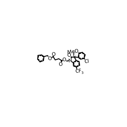 COc1ccc(Cl)cc1[C@]1(F)C(=O)N(COC(=O)CCC(=O)OCc2ccccc2)c2cc(C(F)(F)F)ccc21